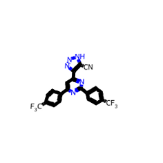 N#Cc1[nH]nnc1-c1cc(-c2ccc(C(F)(F)F)cc2)nc(-c2ccc(C(F)(F)F)cc2)n1